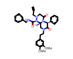 C#CCN1CC(=O)N2[C@@H](c3ccccc3)C(=O)N(CCc3ccc(OC)c(OC)c3)C[C@@H]2N1C(=O)NCc1ccccc1